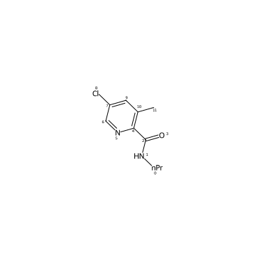 CCCNC(=O)c1ncc(Cl)cc1C